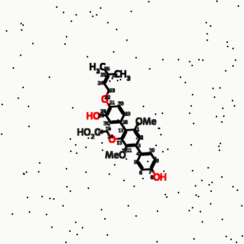 COc1cc(-c2ccc(O)cc2)c(OC)c(OCC(=O)O)c1-c1ccc(OCC=C(C)C)c(O)c1